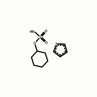 CCCCS(=O)(=O)OC1CCCCC1.c1ccsc1